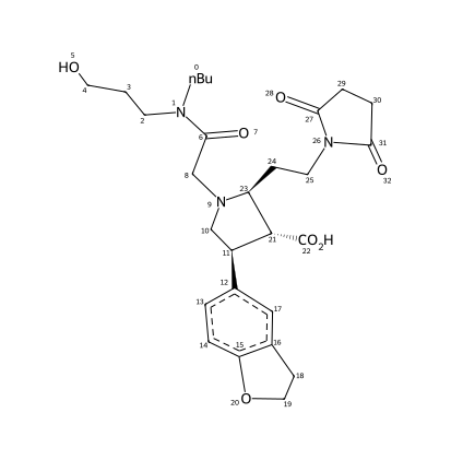 CCCCN(CCCO)C(=O)CN1C[C@H](c2ccc3c(c2)CCO3)[C@@H](C(=O)O)[C@@H]1CCN1C(=O)CCC1=O